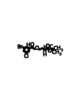 CC(C)(C)OC(=O)NCCOC[C@@H](O)c1cc(Cl)cc(Br)c1